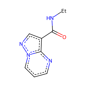 CCNC(=O)c1cnn2cccnc12